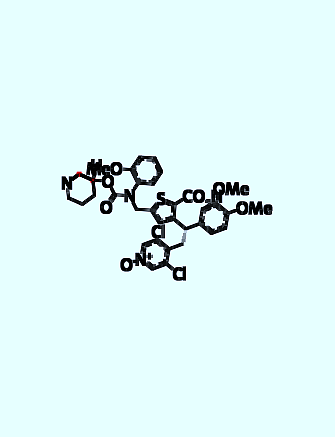 COc1ccc([C@H](Cc2c(Cl)c[n+]([O-])cc2Cl)c2cc(CN(C(=O)O[C@H]3CN4CCC3CC4)c3ccccc3OC)sc2C(=O)O)cc1OC